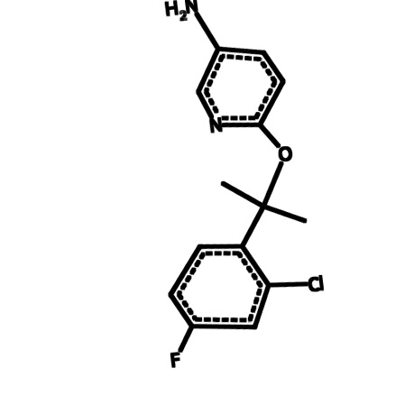 CC(C)(Oc1ccc(N)cn1)c1ccc(F)cc1Cl